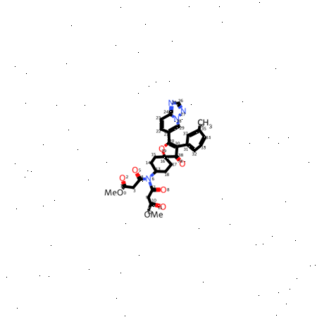 COC(=O)CC(=O)N(C(=O)CC(=O)OC)C1CCC2(CC1)OC(c1ccc3ncnn3c1)=C(c1cccc(C)c1)C2=O